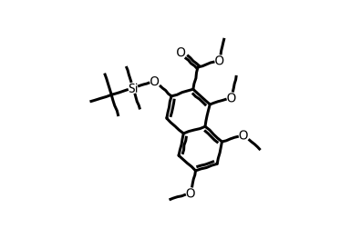 COC(=O)c1c(O[Si](C)(C)C(C)(C)C)cc2cc(OC)cc(OC)c2c1OC